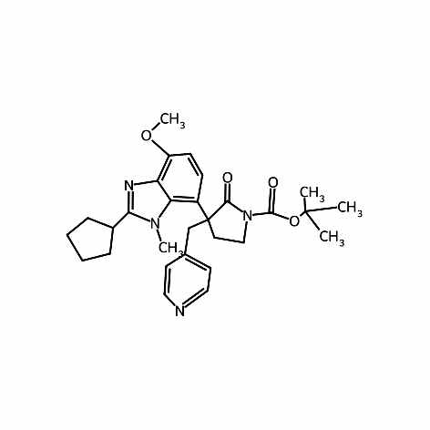 COc1ccc(C2(Cc3ccncc3)CCN(C(=O)OC(C)(C)C)C2=O)c2c1nc(C1CCCC1)n2C